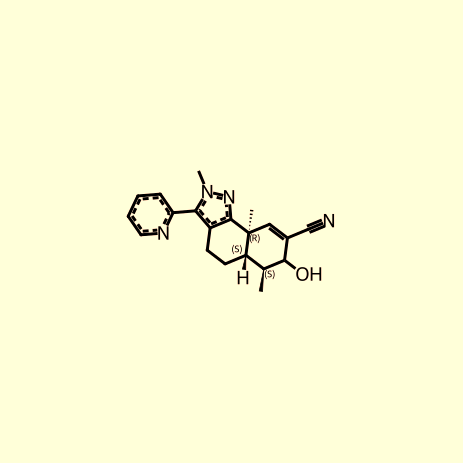 C[C@@H]1C(O)C(C#N)=C[C@]2(C)c3nn(C)c(-c4ccccn4)c3CC[C@@H]12